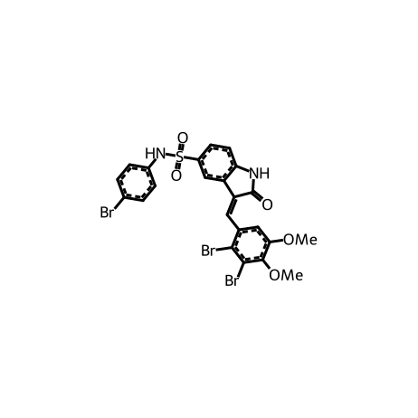 COc1cc(C=C2C(=O)Nc3ccc(S(=O)(=O)Nc4ccc(Br)cc4)cc32)c(Br)c(Br)c1OC